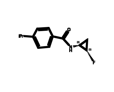 CC(C)c1ccc(C(=O)N[C@@H]2C[C@@H]2F)cc1